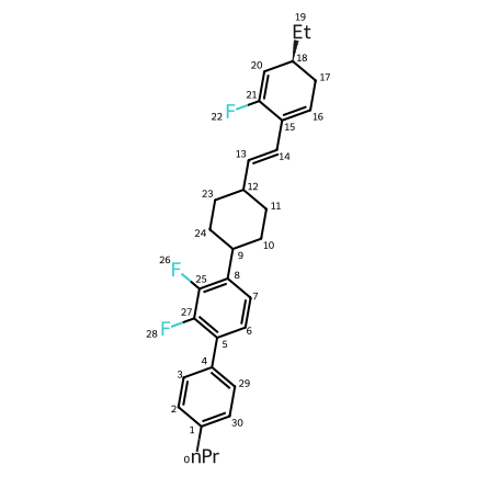 CCCc1ccc(-c2ccc(C3CCC(/C=C/C4=CC[C@H](CC)C=C4F)CC3)c(F)c2F)cc1